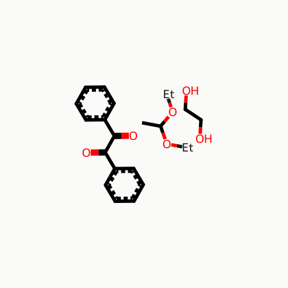 CCOC(C)OCC.O=C(C(=O)c1ccccc1)c1ccccc1.OCCO